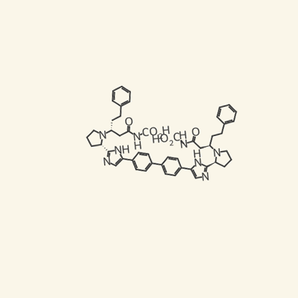 O=C(O)NC(=O)C[C@@H](CCc1ccccc1)N1CCC[C@H]1c1ncc(-c2ccc(-c3ccc(-c4cnc([C@@H]5CCCN5[C@H](CCc5ccccc5)CC(=O)NC(=O)O)[nH]4)cc3)cc2)[nH]1